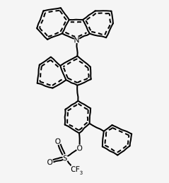 O=S(=O)(Oc1ccc(-c2ccc(-n3c4ccccc4c4ccccc43)c3ccccc23)cc1-c1ccccc1)C(F)(F)F